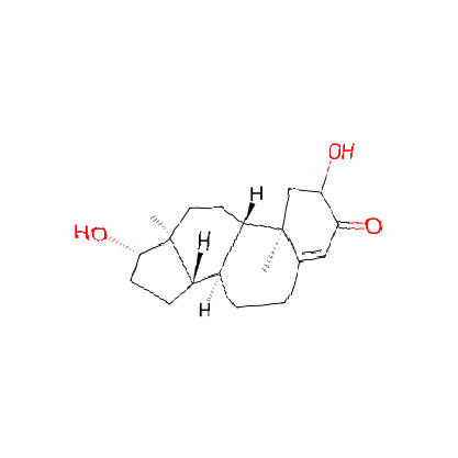 C[C@]12CC[C@H]3[C@@H](CCC4=CC(=O)C(O)C[C@@]43C)[C@@H]1CC[C@@H]2O